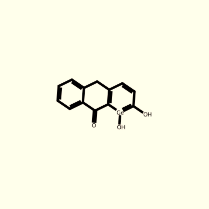 O=C1[C]2=C(C=C[C](O)=[Ge]2[OH])Cc2ccccc21